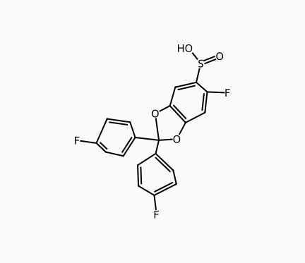 O=S(O)c1cc2c(cc1F)OC(c1ccc(F)cc1)(c1ccc(F)cc1)O2